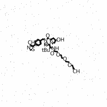 C#CCOCCOCCOCC(=O)N[C@H](C(=O)N1C[C@H](O)C[C@H]1C(=O)NCc1ccc(-c2scnc2C)cc1)C(C)(C)C